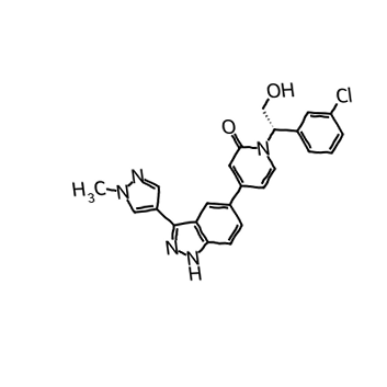 Cn1cc(-c2n[nH]c3ccc(-c4ccn([C@H](CO)c5cccc(Cl)c5)c(=O)c4)cc23)cn1